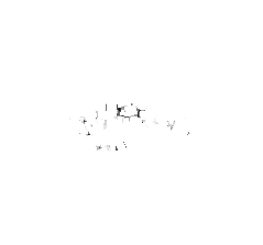 CCN(C(=O)OC(C)(C)C)C(C)Cc1ccc2c(c1)OC(CN)O2